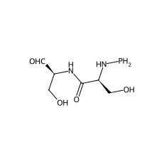 O=C[C@H](CO)NC(=O)[C@H](CO)NP